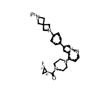 CC(C)N1CC2(CN(c3ccc(-c4cc5c(N6CCN(C(=O)[C@H]7C[C@@H]7F)CC6)ccnn5c4)cc3)C2)C1